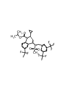 CC(C)OC(=O)N1c2ccc(C(F)(F)F)cc2C(N(Cc2cc(C(F)(F)F)cc(C(F)(F)F)c2)S(C)(=O)=O)CC1C1CC1